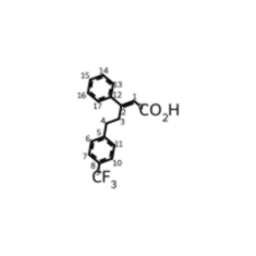 O=C(O)/C=C(\CCc1ccc(C(F)(F)F)cc1)c1ccccc1